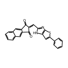 O=C1C(=Cc2nc3sc(-c4ccccc4)cc3[nH]2)C(=O)c2cc3ccccc3cc21